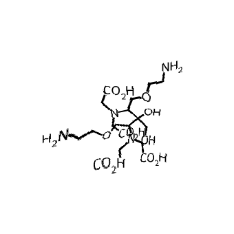 NCCOCC(N(CC(=O)O)CC(=O)O)C(O)(CO)C(COCCN)N(CC(=O)O)CC(=O)O